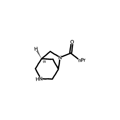 CCCC(=O)N1C[C@@H]2CNCC1C2